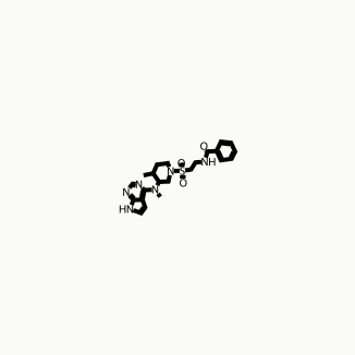 CC1CCN(S(=O)(=O)CCNC(=O)c2ccccc2)CC1N(C)c1ncnc2[nH]ccc12